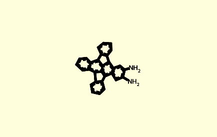 Nc1cc2c3c4c(c5ccccc5c5c4c(c2cc1N)-c1ccccc1-5)-c1ccccc1-3